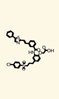 O=C(O)COc1ccc(CCCS(=O)(=O)c2ccc(Cl)cc2)cc1NC(=O)c1cccc(C=Cc2ncc(-c3ccccc3)s2)c1